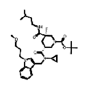 COCCCn1cc(CN(C(=O)[C@H]2CN(C(=O)OC(C)(C)C)C[C@](F)(C(=O)NCCC(C)C)C2)C2CC2)c2ccccc21